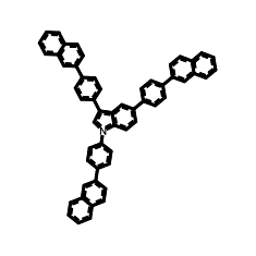 c1ccc2cc(-c3ccc(-c4ccc5c(c4)c(-c4ccc(-c6ccc7ccccc7c6)cc4)cn5-c4ccc(-c5ccc6ccccc6c5)cc4)cc3)ccc2c1